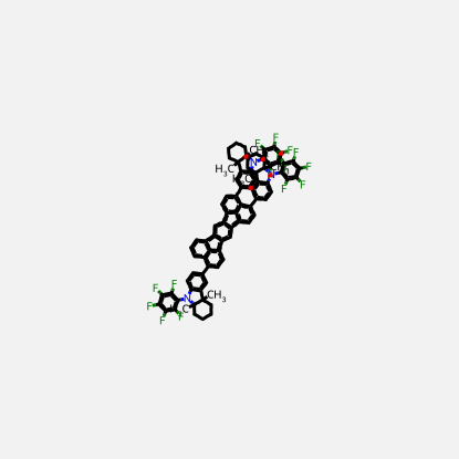 CC12CCCCC1(C)N(c1c(F)c(F)c(F)c(F)c1F)c1ccc(-c3ccc4c5cc6c(cc5c5cccc3c54)c3ccc(-c4ccc5c(c4)C4(C)CCCCC4(C)N5c4c(F)c(F)c(F)c(F)c4F)c4c(-c5ccc7c(c5)C5(C)CCCCC5(C)N7c5c(F)c(F)c(F)c(F)c5F)ccc6c43)cc12